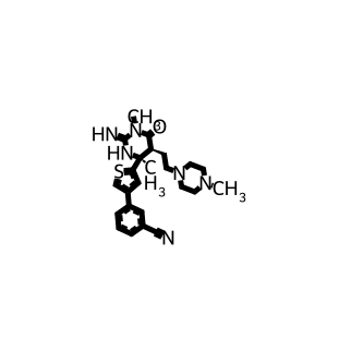 CN1CCN(CC[C@@H]2C(=O)N(C)C(=N)N[C@]2(C)c2cc(-c3cccc(C#N)c3)cs2)CC1